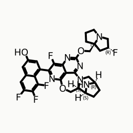 Oc1cc(-c2nc3c4c(nc(OC[C@@]56CCCN5C[C@H](F)C6)nc4c2F)N2C[C@H]4CC[C@H](N4)[C@H]2CO3)c2c(F)c(F)c(F)cc2c1